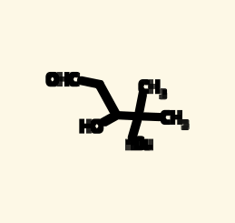 CCCCC(C)(C)C(O)CC=O